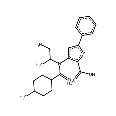 C=C(O)c1sc(-c2ccccc2)cc1N(C(=C)C1CCC(C)CC1)C(C)CN